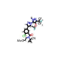 COCCN(C(=O)c1cc(-c2cnn(-c3c(OC(C)F)c(C(F)(C(F)(F)F)C(F)(F)F)nn3C)c2)ccc1Cl)C1(C#N)CC1